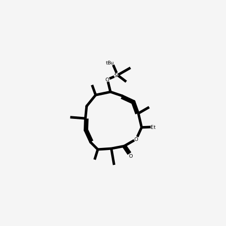 CCC1OC(=O)C(C)C(C)C=C=C(C)CC(C)C(O[Si](C)(C)C(C)(C)C)C=C=C1C